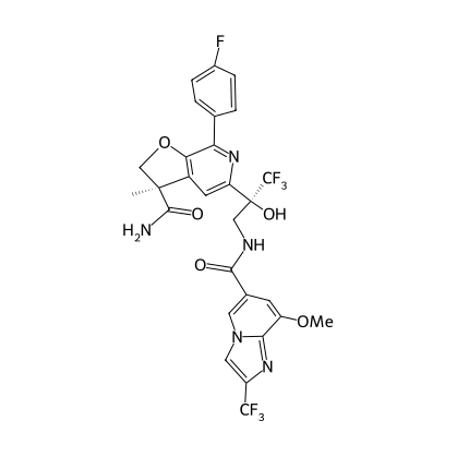 COc1cc(C(=O)NC[C@](O)(c2cc3c(c(-c4ccc(F)cc4)n2)OC[C@]3(C)C(N)=O)C(F)(F)F)cn2cc(C(F)(F)F)nc12